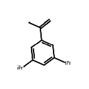 C=C(C)c1cc(C(C)C)cc(C(C)C)c1